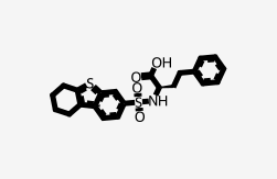 O=C(O)[C@@H](CCc1ccccc1)NS(=O)(=O)c1ccc2c3c(sc2c1)CCCC3